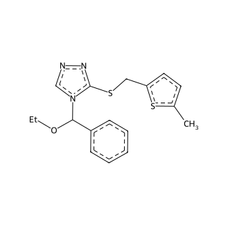 CCOC(c1ccccc1)n1cnnc1SCc1ccc(C)s1